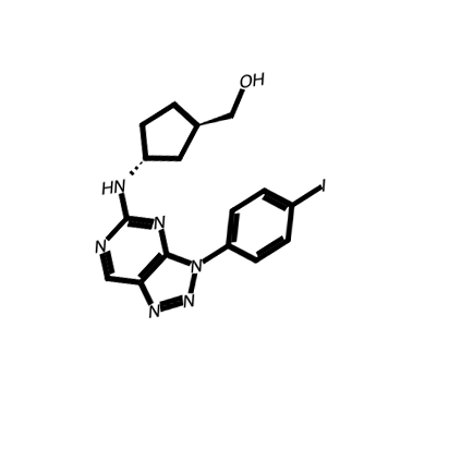 OC[C@@H]1CC[C@@H](Nc2ncc3nnn(-c4ccc(I)cc4)c3n2)C1